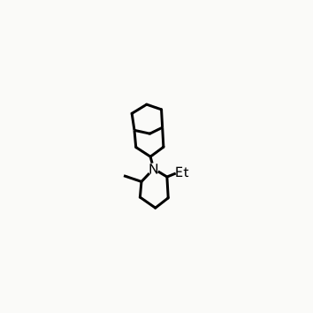 CCC1CCCC(C)N1C1CC2CCCC(C2)C1